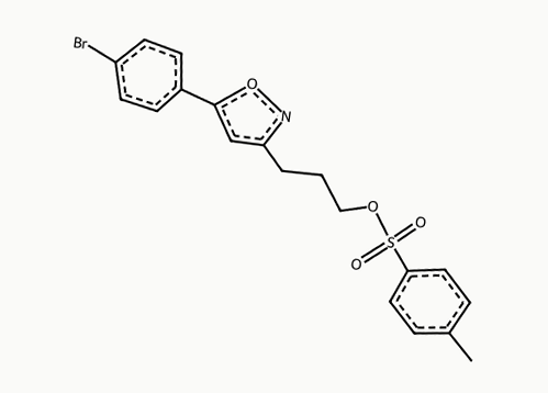 Cc1ccc(S(=O)(=O)OCCCc2cc(-c3ccc(Br)cc3)on2)cc1